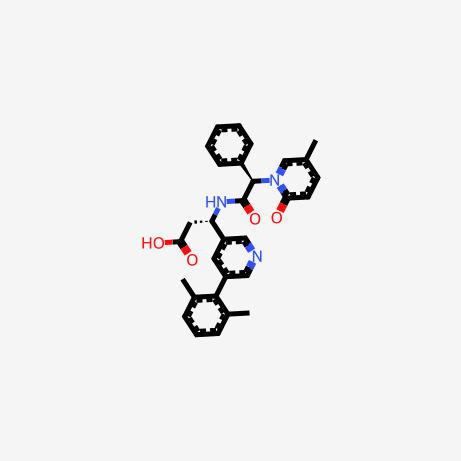 Cc1ccc(=O)n([C@@H](C(=O)N[C@@H](CC(=O)O)c2cncc(-c3c(C)cccc3C)c2)c2ccccc2)c1